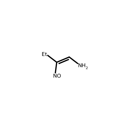 CC/C(=C/N)N=O